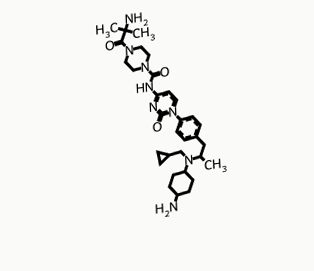 CC(Cc1ccc(-n2ccc(NC(=O)N3CCN(C(=O)C(C)(C)N)CC3)nc2=O)cc1)N(CC1CC1)C1CCC(N)CC1